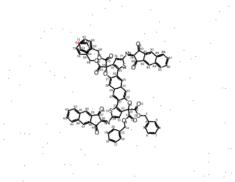 O=C(OCc1ccccc1)C1(C(=O)OCc2ccccc2)OC2=CC3C=C4C(=CC3C=C2c2sc(N=c3c(=O)c5cc6ccccc6cc5c3=O)cc21)OC(C(=O)OCc1ccccc1)(C(=O)OCc1ccccc1)c1cc(N=c2c(=O)c3cc5ccccc5cc3c2=O)sc14